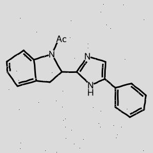 CC(=O)N1c2ccccc2CC1c1ncc(-c2ccccc2)[nH]1